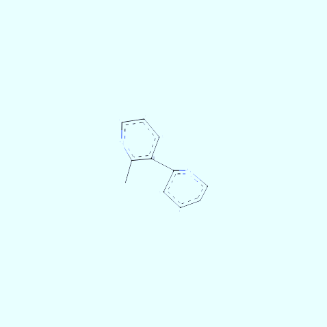 Cc1ncccc1-c1ccccn1